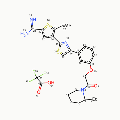 CCC1CCCCN1C(=O)COc1cccc(-c2csc(-c3cc(C(=N)N)sc3SC)n2)c1.O=C(O)C(F)(F)F